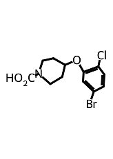 O=C(O)N1CCC(Oc2cc(Br)ccc2Cl)CC1